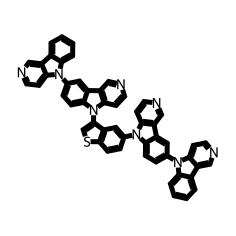 c1ccc2c(c1)c1cnccc1n2-c1ccc2c(c1)c1cnccc1n2-c1ccc2scc(-n3c4ccncc4c4cc(-n5c6ccccc6c6cnccc65)ccc43)c2c1